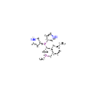 CC(C)(C)c1ccc(CP(C(C)(C)C)C(C)(C)C)c(CP(c2cc[nH]c2)c2cc[nH]c2)c1